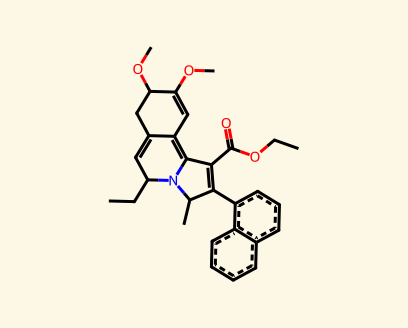 CCOC(=O)C1=C(c2cccc3ccccc23)C(C)N2C1=C1C=C(OC)C(OC)CC1=CC2CC